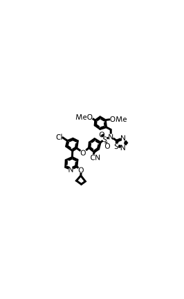 COc1ccc(CN(c2ncns2)S(=O)(=O)c2ccc(Oc3ccc(Cl)cc3-c3ccnc(OC4CCC4)c3)c(C#N)c2)c(OC)c1